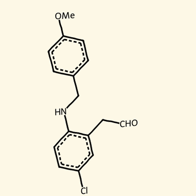 COc1ccc(CNc2ccc(Cl)cc2CC=O)cc1